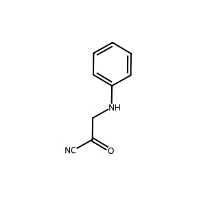 N#CC(=O)CNc1ccccc1